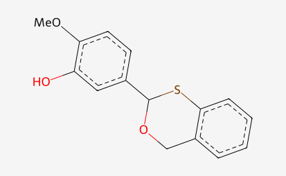 COc1ccc(C2OCc3ccccc3S2)cc1O